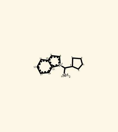 NC(C1CCCC1)n1ccc2ccccc21